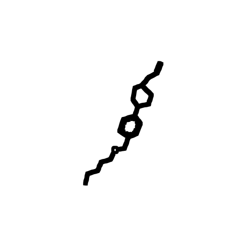 C=CCC1CCC(c2ccc(COCCCCC)cc2)CC1